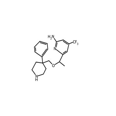 CC(OCC1(c2ccccc2)CCNCC1)c1cc(C(F)(F)F)cc(N)n1